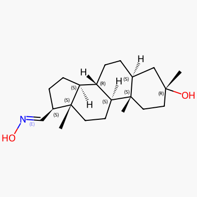 C[C@@]1(O)CC[C@@]2(C)[C@@H](CC[C@@H]3[C@@H]2CC[C@]2(C)[C@@H](/C=N/O)CC[C@@H]32)C1